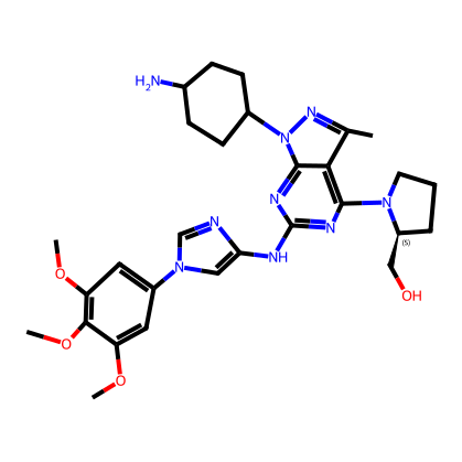 COc1cc(-n2cnc(Nc3nc(N4CCC[C@H]4CO)c4c(C)nn(C5CCC(N)CC5)c4n3)c2)cc(OC)c1OC